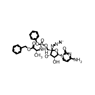 C[C@@H](NP(=O)(OC[C@@]1(N=[N+]=[N-])O[C@@H](n2ccc(N)nc2=O)[C@H](O)[C@@H]1O)Oc1ccccc1)C(=O)OCc1ccccc1